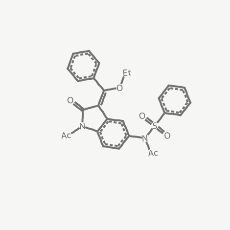 CCOC(=C1C(=O)N(C(C)=O)c2ccc(N(C(C)=O)S(=O)(=O)c3ccccc3)cc21)c1ccccc1